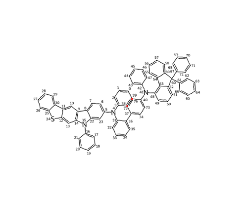 c1ccc(N(c2ccc3c4cc5c(cc4n(-c4ccccc4)c3c2)sc2ccccc25)c2ccccc2-c2ccc(N(c3ccccc3)c3cccc4c3-c3ccccc3C4(c3ccccc3)c3ccccc3)cc2)cc1